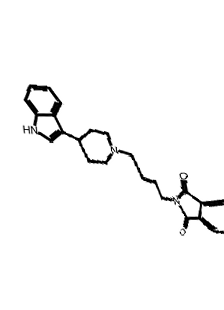 O=C1c2ccccc2C(=O)N1CCCCN1CCC(c2c[nH]c3ccccc23)CC1